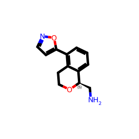 NC[C@H]1OCCc2c(-c3ccno3)cccc21